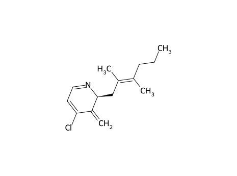 C=C1C(Cl)=CC=N[C@H]1C/C(C)=C(\C)CCC